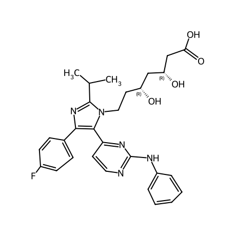 CC(C)c1nc(-c2ccc(F)cc2)c(-c2ccnc(Nc3ccccc3)n2)n1CC[C@@H](O)C[C@@H](O)CC(=O)O